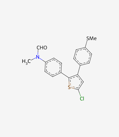 CSc1ccc(-c2cc(Cl)sc2-c2ccc(N(C)C=O)cc2)cc1